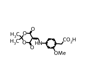 COc1cc(NC=C2C(=O)OC(C)(C)OC2=O)ccc1CC(=O)O